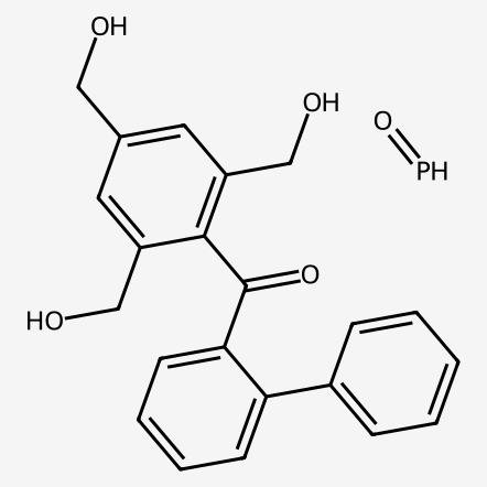 O=C(c1ccccc1-c1ccccc1)c1c(CO)cc(CO)cc1CO.O=P